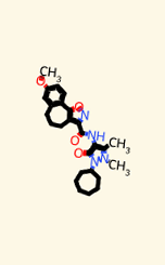 COc1ccc2c(c1)CCCc1c(C(=O)Nc3c(C)n(C)n(C4CCCCCC4)c3=O)noc1-2